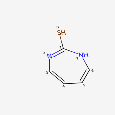 SC1=NC=CC=CN1